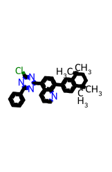 CC1(C)CCC(C)(C)c2cc(-c3ccc(-c4nc(Cl)nc(-c5ccccc5)n4)c4cccnc34)ccc21